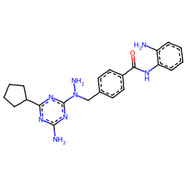 Nc1nc(C2CCCC2)nc(N(N)Cc2ccc(C(=O)Nc3ccccc3N)cc2)n1